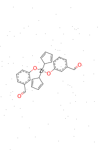 O=Cc1cccc([O][Zr]([O]c2cccc(C=O)c2)([CH]2C=CC=C2)[CH]2C=CC=C2)c1